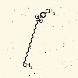 C=CCCCCCCCCCCCCCCCCCCS(=O)(=O)c1ccc(C)cc1